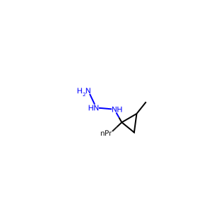 CCCC1(NNN)CC1C